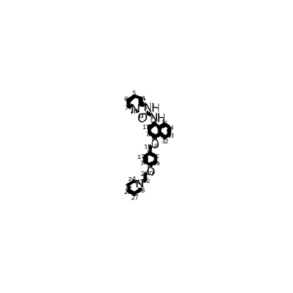 O=C(Nc1ccccn1)Nc1ccc(OCc2ccc(OCCN3CCCCC3)cc2)c2ccccc12